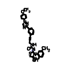 Cc1ccc(C(C)C)c(N2C(=O)CS/C2=N\C(=O)NCC#Cc2cccc(-c3ncn(-c4ccc(OC(F)(F)F)cc4)n3)c2)c1